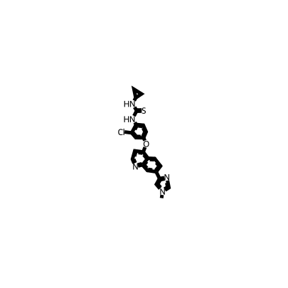 Cn1cnc(-c2ccc3c(Oc4ccc(NC(=S)NC5CC5)c(Cl)c4)ccnc3c2)c1